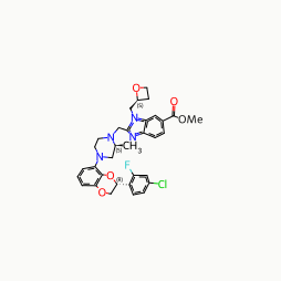 COC(=O)c1ccc2nc(CN3CCN(c4cccc5c4O[C@H](c4ccc(Cl)cc4F)CO5)C[C@@H]3C)n(C[C@@H]3CCO3)c2c1